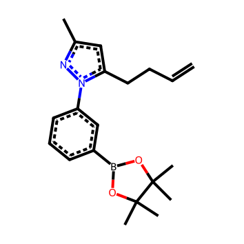 C=CCCc1cc(C)nn1-c1cccc(B2OC(C)(C)C(C)(C)O2)c1